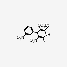 CCOC(=O)C1=C(C)NC(C)=C([N+](=O)[O-])C1c1cccc([N+](=O)[O-])c1